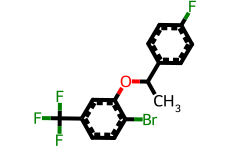 CC(Oc1cc(C(F)(F)F)ccc1Br)c1ccc(F)cc1